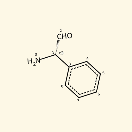 N[C@H](C=O)c1ccccc1